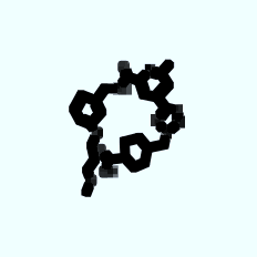 COCCCOc1cccc(CNC(=O)c2cc(-c3nnn(CC4CCC(C(=O)O)CC4)n3)cc(C)n2)c1